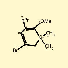 CCCC1=C(OC)[N+](C)(C)CC(Br)=C1